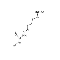 CC(=O)NCCCCCCNC(=O)CI